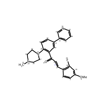 COc1ccc(/C=C/C(=O)c2cc(-c3cccnc3)ccc2N2CCN(C)CC2)c(F)c1